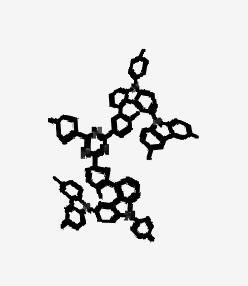 Cc1ccc(-c2nc(-c3ccc(C)c(-c4cccc5c4c4cc(-n6c7ccc(C)cc7c7cc(C)ccc76)ccc4n5-c4ccc(C)cc4)c3)nc(-c3ccc(C)c(-c4cccc5c4c4cc(-n6c7ccc(C)cc7c7cc(C)ccc76)ccc4n5-c4ccc(C)cc4)c3)n2)cc1